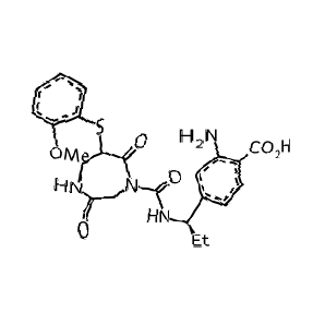 CC[C@@H](NC(=O)N1CC(=O)NCC(Sc2ccccc2OC)C1=O)c1ccc(C(=O)O)c(N)c1